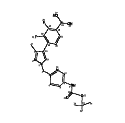 Cc1nn(Cc2ccc(NC(=O)OC(C)(C)C)cn2)cc1-c1ccc(B(O)O)c(F)c1F